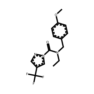 CCN(Cc1ccc(OC)cc1)C(=O)n1cc(C(F)(F)F)cn1